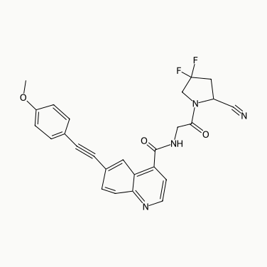 COc1ccc(C#Cc2ccc3nccc(C(=O)NCC(=O)N4CC(F)(F)CC4C#N)c3c2)cc1